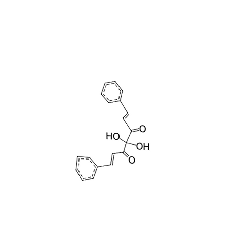 O=C(C=Cc1ccccc1)C(O)(O)C(=O)C=Cc1ccccc1